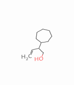 C=CC(CO)C1CCCCCC1